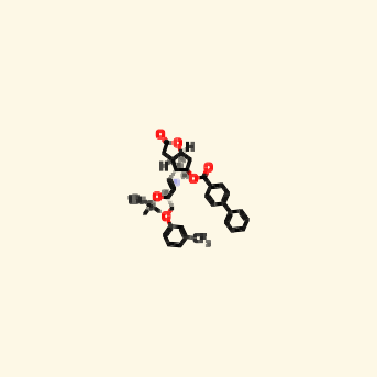 CC(C)(C)[Si](C)(C)O[C@H](/C=C/[C@@H]1[C@H]2CC(=O)O[C@H]2C[C@H]1OC(=O)c1ccc(-c2ccccc2)cc1)COc1cccc(C(F)(F)F)c1